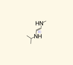 CN/C=C/NC(C)C